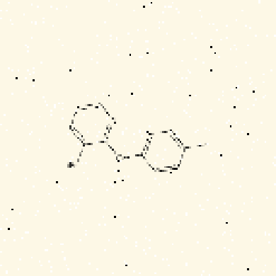 Cc1ccc(Oc2ncccc2C(C)C)cc1